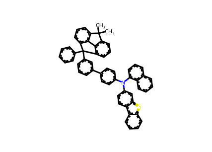 CC1(C)c2cccc3c2-c2c1cccc2C3(c1ccccc1)c1cccc(-c2ccc(N(c3ccc4c(c3)sc3ccccc34)c3cccc4ccccc34)cc2)c1